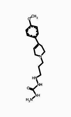 COc1ccc(C2=CCN(CCCNNC(=O)NN)CC2)cc1